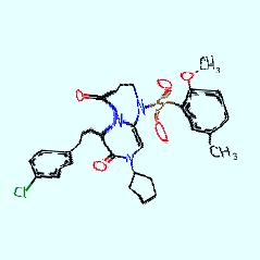 COc1ccc(C)cc1S(=O)(=O)N1CCC(=O)N2C1=CN(C1CCCC1)C(=O)C2Cc1ccc(Cl)cc1